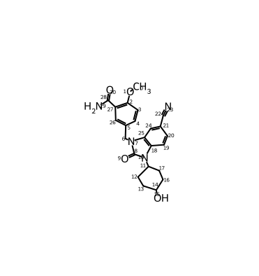 COc1ccc(Cn2c(=O)n(C3CCC(O)CC3)c3ccc(C#N)cc32)cc1C(N)=O